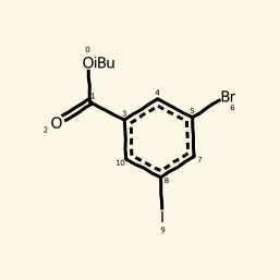 CC(C)COC(=O)c1cc(Br)cc(I)c1